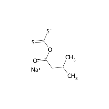 CC(C)CC(=O)OC(=S)[S-].[Na+]